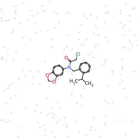 CC(C)c1ccccc1CN(C(=O)CCl)c1ccc2c(c1)OCO2